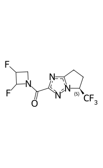 O=C(c1nc2n(n1)[C@H](C(F)(F)F)CC2)N1CC(F)C1F